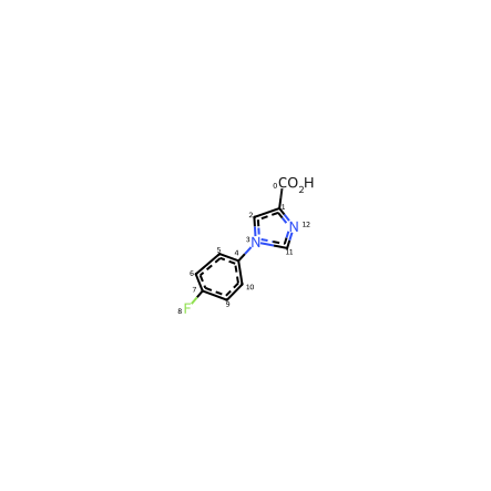 O=C(O)c1cn(-c2ccc(F)cc2)cn1